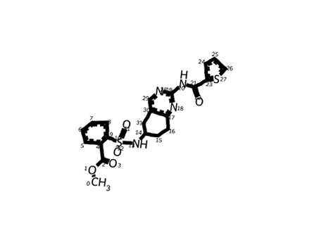 COC(=O)c1ccccc1S(=O)(=O)NC1CCc2nc(NC(=O)c3cccs3)ncc2C1